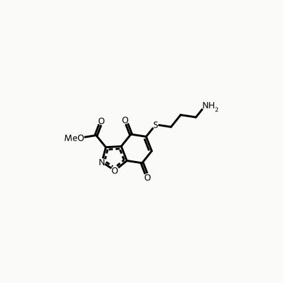 COC(=O)c1noc2c1C(=O)C(SCCCN)=CC2=O